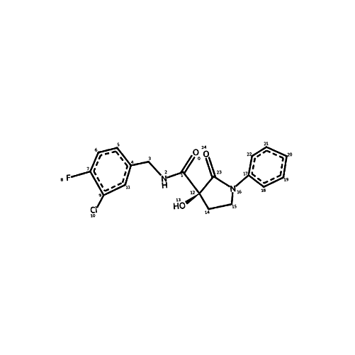 O=C(NCc1ccc(F)c(Cl)c1)[C@@]1(O)CCN(c2ccccc2)C1=O